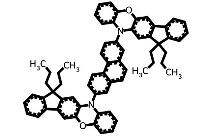 CCCC1(CCC)c2ccccc2-c2cc3c(cc21)N(c1ccc2c(ccc4cc(N5c6ccccc6Oc6cc7c(cc65)C(CCC)(CCC)c5ccccc5-7)ccc42)c1)c1ccccc1O3